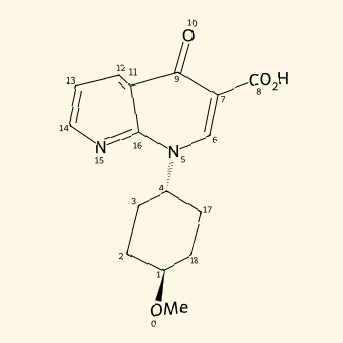 CO[C@H]1CC[C@H](n2cc(C(=O)O)c(=O)c3cccnc32)CC1